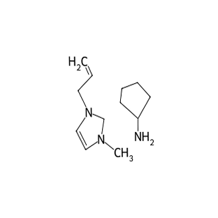 C=CCN1C=CN(C)C1.NC1CCCC1